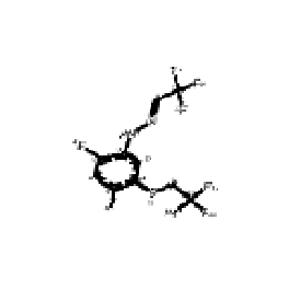 Cc1cc(F)c(N/N=C/C(F)(F)F)cc1SCC(F)(F)F